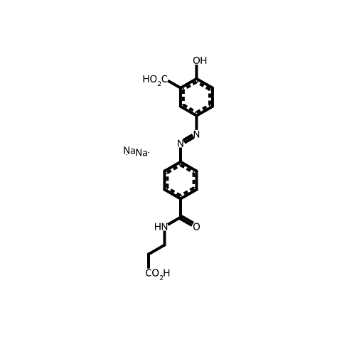 O=C(O)CCNC(=O)c1ccc(N=Nc2ccc(O)c(C(=O)O)c2)cc1.[Na].[Na]